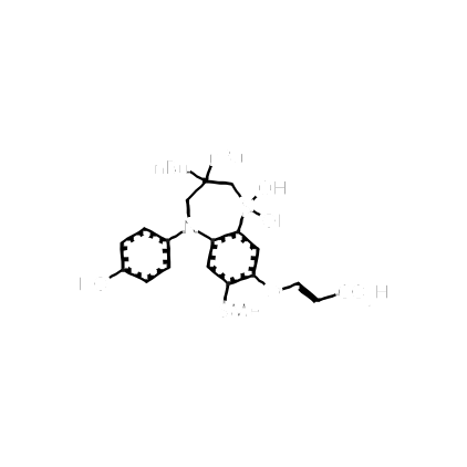 CCCCC1(CCCC)CN(c2ccc(O)cc2)c2cc(SC)c(OC=CC(=O)O)cc2S(O)(O)C1